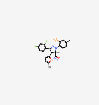 CCc1ccc(C2C(c3ccc(F)cc3F)=NN(c3ccc(C)cc3P)C2(C)C(N)=O)o1